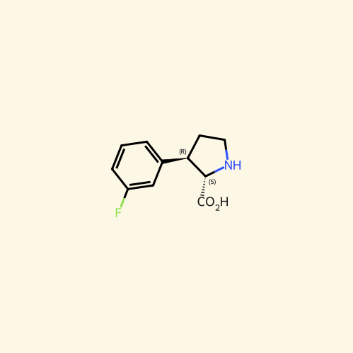 O=C(O)[C@H]1NCC[C@@H]1c1cccc(F)c1